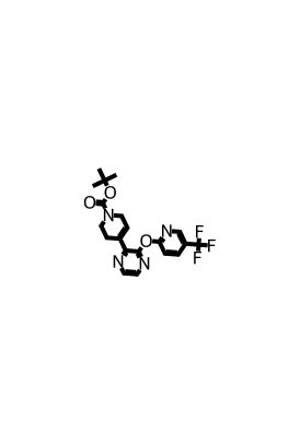 CC(C)(C)OC(=O)N1CC=C(c2nccnc2Oc2ccc(C(F)(F)F)cn2)CC1